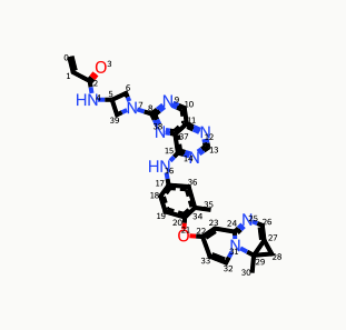 C=CC(=O)NC1CN(c2ncc3ncnc(Nc4ccc(OC5=CC6=NC=C7CC7(C)N6C=C5)c(C)c4)c3n2)C1